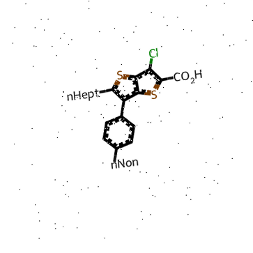 CCCCCCCCCc1ccc(-c2c(CCCCCCC)sc3c(Cl)c(C(=O)O)sc23)cc1